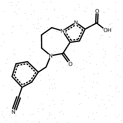 N#Cc1cccc(CN2CCCn3nc(C(=O)O)cc3C2=O)c1